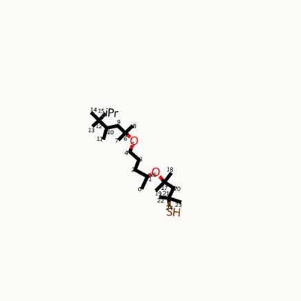 CC(CCCOC(C)(C)CC(C)C(C)(C)C(C)C)OC(C)(C)CC(C)(C)S